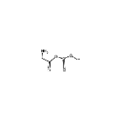 NCC(=O)OS(=O)OF